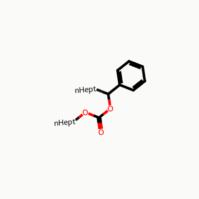 CCCCCCCOC(=O)OC(CCCCCCC)c1ccccc1